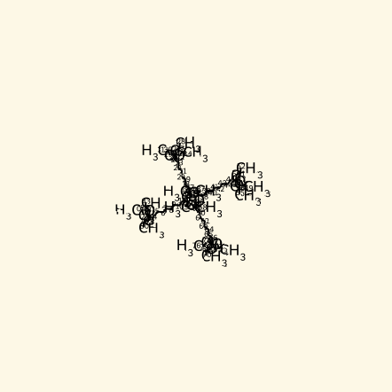 CCO[Si](CCCCCCCC[Si]1(C)O[Si](C)(CCCCCCCC[Si](OCC)(OCC)OCC)O[Si](C)(CCCCCCCC[Si](OCC)(OCC)OCC)O[Si](C)(CCCCCCCC[Si](OCC)(OCC)OCC)O1)(OCC)OCC